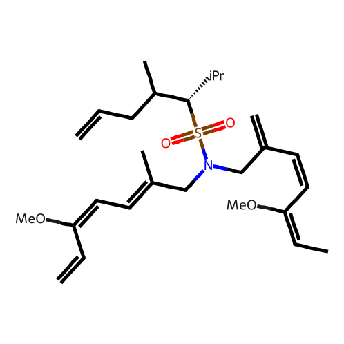 C=CCC(C)[C@H](C(C)C)S(=O)(=O)N(CC(=C)/C=C\C(=C/C)OC)C/C(C)=C/C=C(\C=C)OC